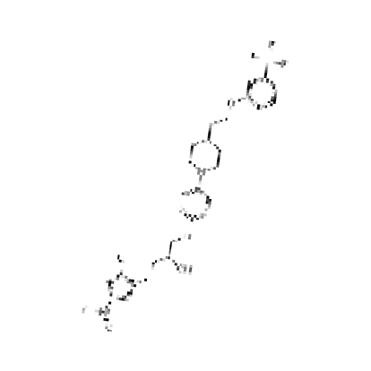 O=[N+]([O-])c1cn(CCC(O)COc2ccc(N3CCC(CCOc4cccc(C(F)(F)F)c4)CC3)cc2)c(Cl)n1